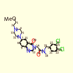 COCCN1CCN(c2ccc3ncn(CC(=O)N(C)Cc4ccc(Cl)c(Cl)c4)c(=O)c3c2)CC1